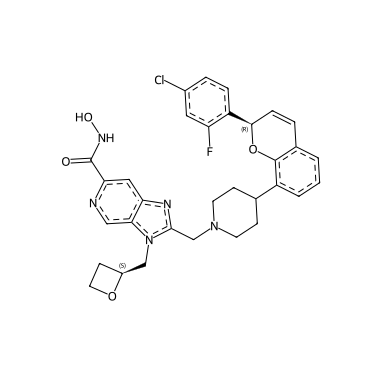 O=C(NO)c1cc2nc(CN3CCC(c4cccc5c4O[C@@H](c4ccc(Cl)cc4F)C=C5)CC3)n(C[C@@H]3CCO3)c2cn1